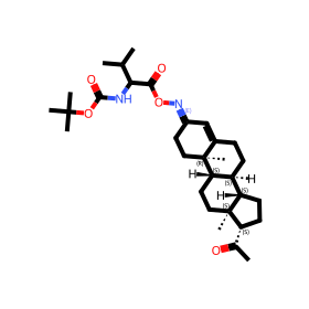 CC(=O)[C@H]1CC[C@H]2[C@@H]3CCC4=C/C(=N/OC(=O)C(NC(=O)OC(C)(C)C)C(C)C)CC[C@]4(C)[C@H]3CC[C@]12C